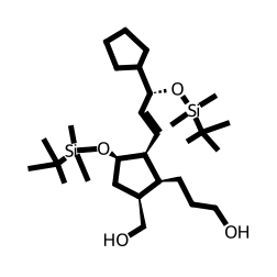 CC(C)(C)[Si](C)(C)O[C@H](C=C[C@H]1[C@@H](CCCO)[C@@H](CO)C[C@H]1O[Si](C)(C)C(C)(C)C)C1CCCC1